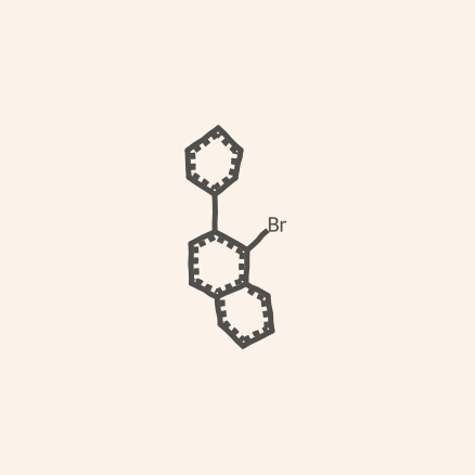 Brc1c(-c2ccccc2)ccc2ccccc12